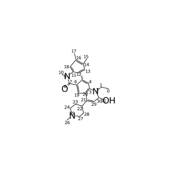 CCN1c2ccc(C(=O)N(C)c3ccc(C)c(C)c3)cc2C(C2CCN(C)CC2)=CC1O